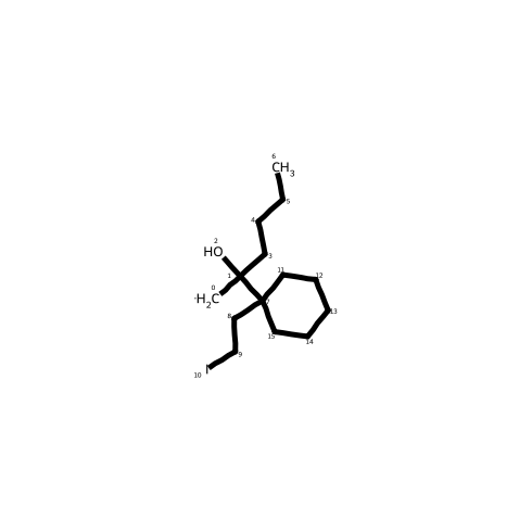 [CH2]C(O)(CCCC)C1(CCI)CCCCC1